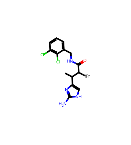 CC(C)C(C(=O)NCc1cccc(Cl)c1Cl)C(C)c1c[nH]c(N)n1